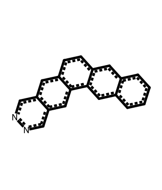 c1ccc2cc3c(ccc4cc5cnncc5cc43)cc2c1